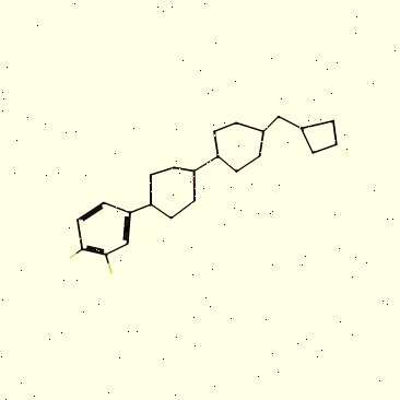 Fc1ccc(C2CCC(C3CCC(CC4CCC4)CC3)CC2)cc1F